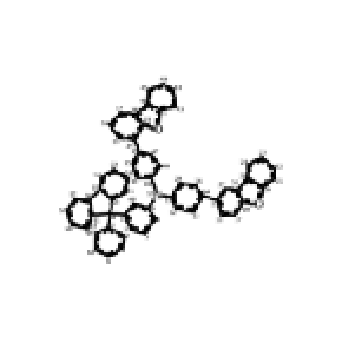 c1ccc(C2(c3cccc(N(c4ccc(-c5ccc6oc7ccccc7c6c5)cc4)c4ccc(-c5cccc6c5oc5ccccc56)cc4)c3)c3ccccc3-c3ccccc32)cc1